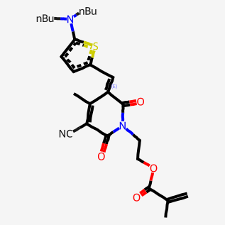 C=C(C)C(=O)OCCN1C(=O)C(C#N)=C(C)/C(=C\c2ccc(N(CCCC)CCCC)s2)C1=O